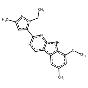 CCn1nc(C)cc1-c1ncc2c(n1)[nH]c1c(OC)cc(C)cc12